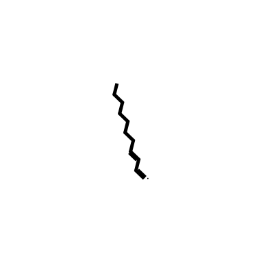 [CH]=CC=CCCCCCCC